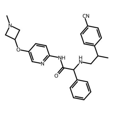 CC(CNC(C(=O)Nc1ccc(OC2CN(C)C2)cn1)c1ccccc1)c1ccc(C#N)cc1